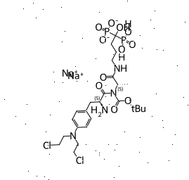 C[C@@H](C(=O)NCCCC(O)(P(=O)([O-])[O-])P(=O)(O)O)N(C(=O)OC(C)(C)C)C(=O)[C@@H](N)Cc1ccc(N(CCCl)CCCl)cc1.[Na+].[Na+]